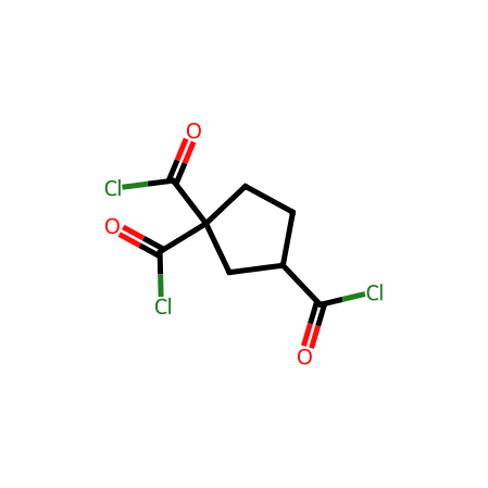 O=C(Cl)C1CCC(C(=O)Cl)(C(=O)Cl)C1